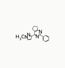 Cn1ccc(-c2nc(-c3ccccc3)nc3c2CCC3)n1